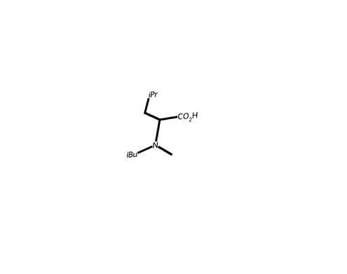 CCC(C)N(C)C(CC(C)C)C(=O)O